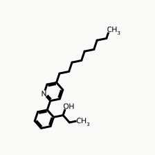 CCCCCCCCCc1ccc(-c2ccccc2C(O)CC)nc1